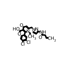 C=CCC(=O)Nc1ccn(Cc2cc(=O)c(C(=O)O)c(-c3ccc(Cl)c(Cl)c3)n2CC)n1